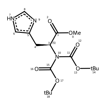 COC(=O)[C@H](Cc1c[nH]cn1)N(C(=O)OC(C)(C)C)C(=O)OC(C)(C)C